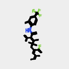 C=C(F)/C(=C\C(C)=C/C)CC(C)(C)/C(C)=C(\C(=C)C)C(=C)Nc1ccc(C(F)(F)F)cc1C